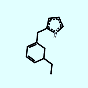 CCC1C=CC=C(Cc2ccc[nH]2)C1